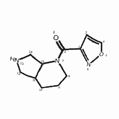 O=C(c1ccon1)N1CCCC2CNCC21